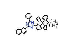 CC1(C)c2ccccc2C2(c3ccccc3-c3c(-c4nc(-c5ccccc5)nc(-c5ccc6ccccc6c5)n4)cccc32)c2ccccc21